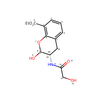 CCOC(=O)c1cccc2c1OB(O)[C@@H](NC(=O)CO)C2